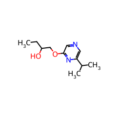 CCC(O)COc1cncc(C(C)C)n1